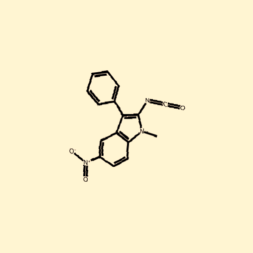 Cn1c(N=C=O)c(-c2ccccc2)c2cc([N+](=O)[O-])ccc21